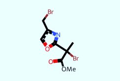 COC(=O)C(C)(Br)c1nc(CBr)co1